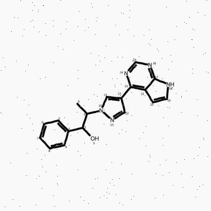 CC(C(O)c1ccccc1)n1cc(-c2ncnc3[nH]ccc23)cn1